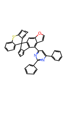 c1ccc(-c2cc(-c3c4c(cc5occc35)C3(c5ccccc5Sc5ccccc53)c3ccccc3-4)nc(-c3ccccc3)n2)cc1